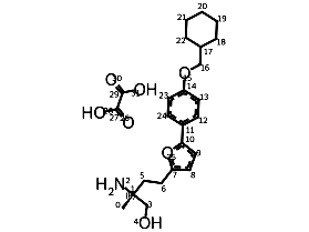 C[C@](N)(CO)CCc1ccc(-c2ccc(OCC3CCCCC3)cc2)o1.O=C(O)C(=O)O